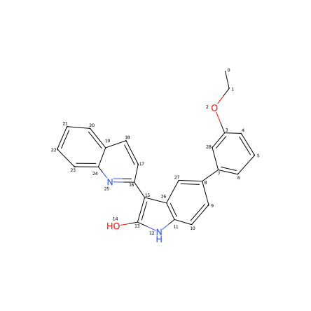 CCOc1cccc(-c2ccc3[nH]c(O)c(-c4ccc5ccccc5n4)c3c2)c1